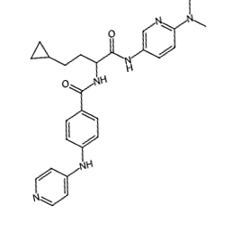 CN(C)c1ccc(NC(=O)C(CCC2CC2)NC(=O)c2ccc(Nc3ccncc3)cc2)cn1